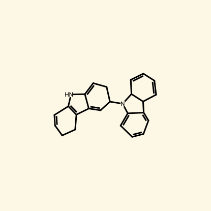 C1=CC2c3ccccc3N(C3C=c4c5c([nH]c4=CC3)C=CCC5)C2C=C1